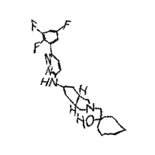 OC1(CN2C[C@H]3CC(Nc4ccc(-c5cc(F)cc(F)c5F)nn4)C[C@H]3C2)CCCCCC1